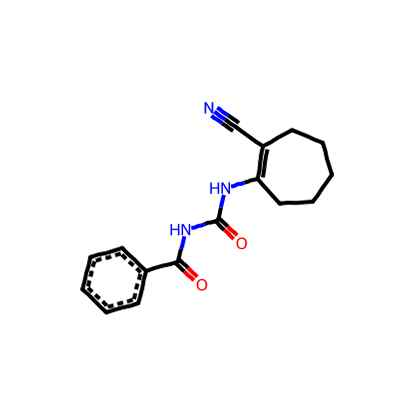 N#CC1=C(NC(=O)NC(=O)c2ccccc2)CCCCC1